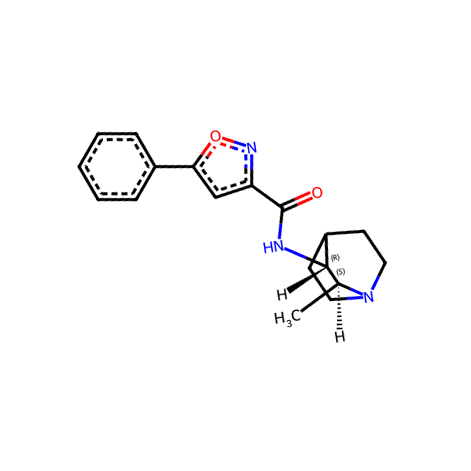 C[C@H]1[C@H](NC(=O)c2cc(-c3ccccc3)on2)C2CCN1CC2